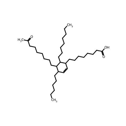 CCCCCCCCC1C(CCCCCCCC(=O)O)C=CC(CCCCCC)C1CCCCCCCC(C)=O